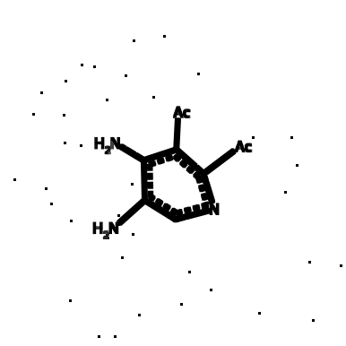 CC(=O)c1ncc(N)c(N)c1C(C)=O